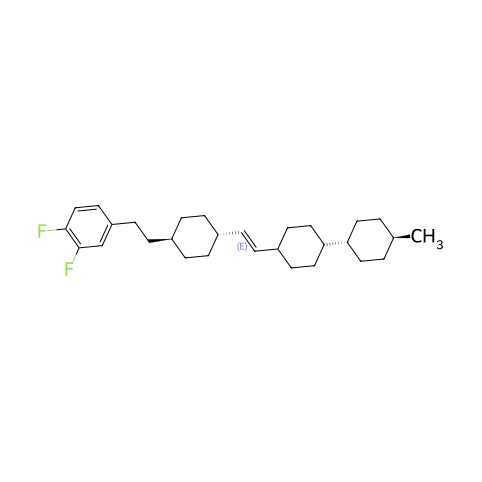 C[C@H]1CC[C@H](C2CCC(/C=C/[C@H]3CC[C@H](CCc4ccc(F)c(F)c4)CC3)CC2)CC1